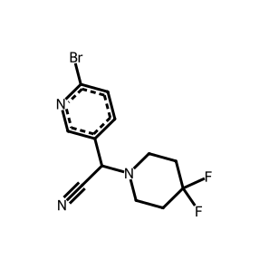 N#CC(c1ccc(Br)nc1)N1CCC(F)(F)CC1